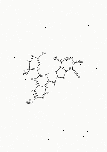 COC(=O)C1CC(Nc2nc(-c3cc(F)ccc3O)nc3cc(OC)ccc23)CN1C(=O)OC(C)(C)C